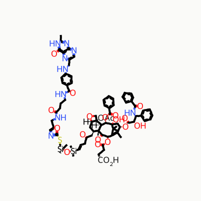 CC(=O)O[C@@]12CO[C@@H]1C[C@H](CC(=O)C/C=C/[Si](C)(C)O[Si](C)(C)CSc1ncc(CNC(=O)CCCNC(=O)c3ccc(NCc4cnc5nc(C)[nH]c(=O)c5n4)cc3)o1)[C@@]1(C)C(=O)[C@H](OC(=O)CCC(=O)O)C3=C(C)[C@@H](OC(=O)[C@H](O)[C@@H](NC(=O)c4ccccc4)c4ccccc4)C[C@@](O)([C@@H](OC(=O)c4ccccc4)[C@H]21)C3(C)C